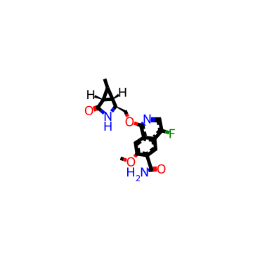 COc1cc2c(OC[C@H]3NC(=O)[C@@H]4C(C)[C@@H]43)ncc(F)c2cc1C(N)=O